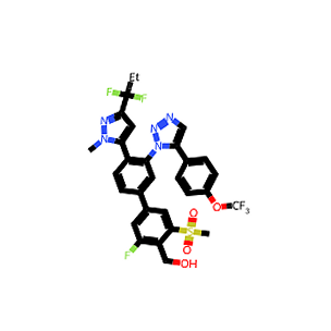 CCC(F)(F)c1cc(-c2ccc(-c3cc(F)c(CO)c(S(C)(=O)=O)c3)cc2-n2nncc2-c2ccc(OC(F)(F)F)cc2)n(C)n1